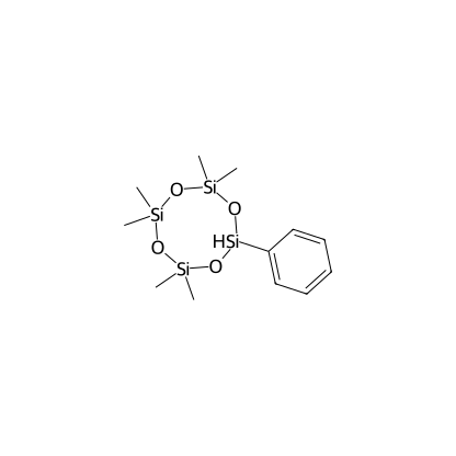 C[Si]1(C)O[SiH](c2ccccc2)O[Si](C)(C)O[Si](C)(C)O1